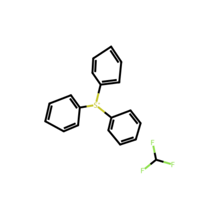 FC(F)F.c1ccc([S+](c2ccccc2)c2ccccc2)cc1